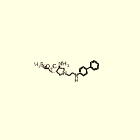 BCCC[C@H]1CN(CCNc2ccc(-c3ccccc3)cc2)C[C@@]1(N)C(=O)O